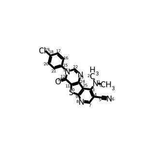 CN(C)c1c(C#N)cnc2sc3c(=O)n(-c4ccc(Cl)cc4)cnc3c12